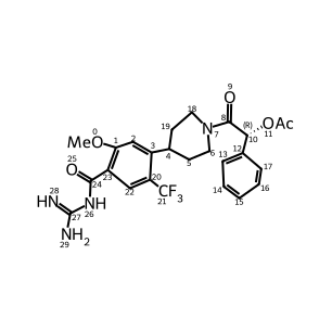 COc1cc(C2CCN(C(=O)[C@H](OC(C)=O)c3ccccc3)CC2)c(C(F)(F)F)cc1C(=O)NC(=N)N